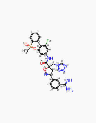 CS(=O)(=O)c1ccccc1-c1ccc(NC(=O)C2(Cn3cnnn3)CC(c3cccc(C(=N)N)c3)=NO2)cc1F